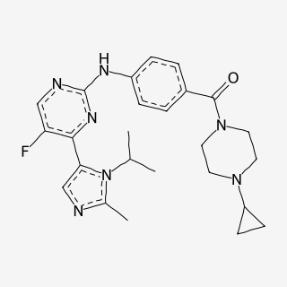 Cc1ncc(-c2nc(Nc3ccc(C(=O)N4CCN(C5CC5)CC4)cc3)ncc2F)n1C(C)C